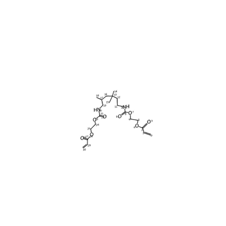 C=CC(=O)OCCOC(=O)NCCC(C)(C)CC(C)CNC(=O)OCCOC(=O)C=C